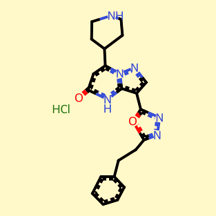 Cl.O=c1cc(C2CCNCC2)n2ncc(-c3nnc(CCc4ccccc4)o3)c2[nH]1